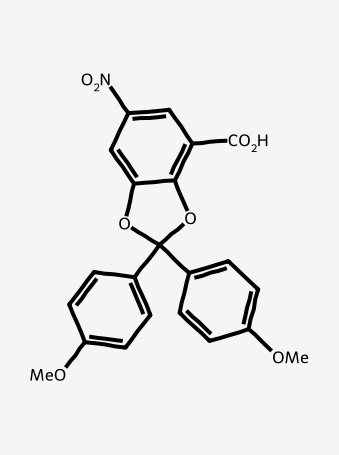 COc1ccc(C2(c3ccc(OC)cc3)Oc3cc([N+](=O)[O-])cc(C(=O)O)c3O2)cc1